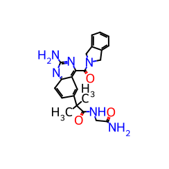 CC(C)(C(=O)NCC(N)=O)c1ccc2nc(N)nc(C(=O)N3Cc4ccccc4C3)c2c1